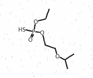 CCOP(=O)(S)OCCOC(C)C